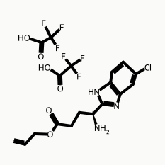 C=CCOC(=O)CC[C@H](N)c1nc2cc(Cl)ccc2[nH]1.O=C(O)C(F)(F)F.O=C(O)C(F)(F)F